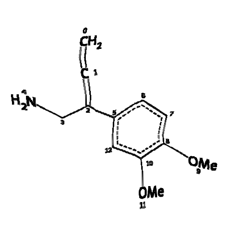 C=C=C(CN)c1ccc(OC)c(OC)c1